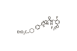 CCOC(=O)C[C@H]1CC[C@H](c2ccc(-c3cn4cc(C(=O)NCc5cc(OC(F)(F)F)ccc5F)nc4s3)cc2)CC1